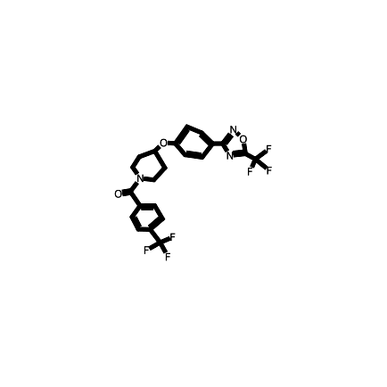 O=C(c1ccc(C(F)(F)F)cc1)N1CCC(Oc2ccc(-c3noc(C(F)(F)F)n3)cc2)CC1